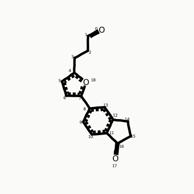 O=CCCc1ccc(-c2ccc3c(c2)CCC3=O)o1